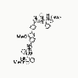 COC(=O)N[C@@H](C(=O)N1CCC[C@H]1c1nc(-c2ccc3nc(-c4ccc(-c5cnc([C@@H]6CCCN6C(=O)[C@H](NC(=O)OC)c6ccccc6)[nH]5)cc4)cc(OC)c3c2)c[nH]1)c1ccccc1